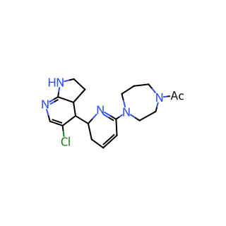 CC(=O)N1CCCN(C2=NC(C3C(Cl)=CN=C4NCCC43)CC=C2)CC1